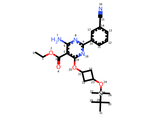 CCOC(=O)c1c(N)nc(-c2cccc(C#N)c2)nc1OC1CC(O[Si](C)(C)C(C)(C)C)C1